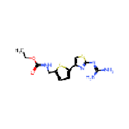 CCOC(=O)NCc1ccc(-c2csc(N=C(N)N)n2)s1